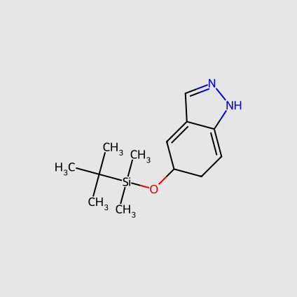 CC(C)(C)[Si](C)(C)OC1C=c2cn[nH]c2=CC1